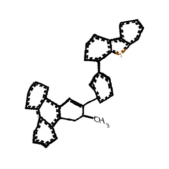 CC1Cc2c(c3ccccc3c3ccccc23)C=C1c1cccc(-c2cccc3c2sc2ccccc23)c1